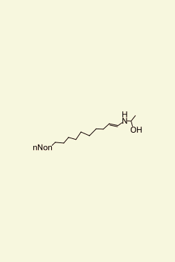 CCCCCCCCCCCCCCCCCC=CNC(C)O